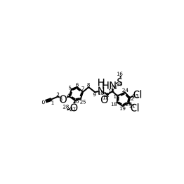 C#CCOc1ccc(CCNC(=O)C(NSC)c2ccc(Cl)c(Cl)c2)cc1OC